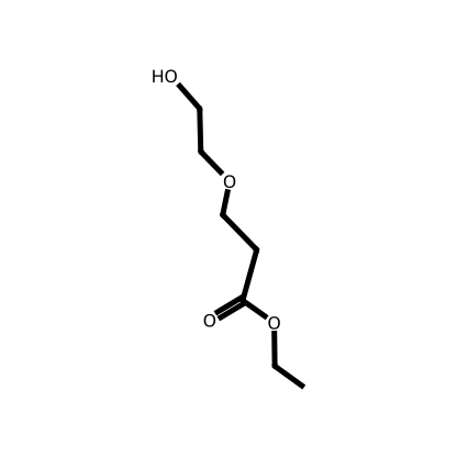 CCOC(=O)CCOCCO